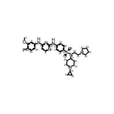 COc1cc(Nc2ccnc(Nc3ccc(S(=O)(=O)N(CCN4CCCC4)C4CCN(C5CC5)CC4)cc3)n2)ccc1F